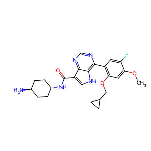 COc1cc(OCC2CC2)c(-c2ncnc3c(C(=O)N[C@H]4CC[C@H](N)CC4)c[nH]c23)cc1F